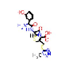 Cn1nnnc1SCC1=C(C(=O)O)N2C(=O)C(NC(=O)C(N)c3cccc(O)c3)[C@@H]2SC1